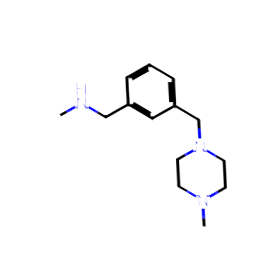 CNCc1cccc(CN2CCN(C)CC2)c1